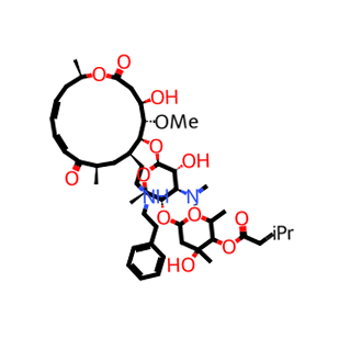 CO[C@@H]1[C@@H](O[C@@H]2O[C@H](C)[C@@H](OC3CC(C)(O)C(OC(=O)CC(C)C)C(C)O3)[C@H](N(C)C)[C@H]2O)[C@@H](CCNCCc2ccccc2)C[C@@H](C)C(=O)C=CC=CC[C@@H](C)OC(=O)C[C@H]1O